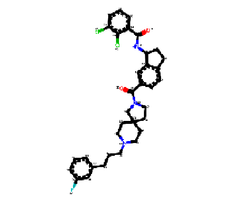 O=C(NC1CCc2ccc(C(=O)N3CCC4(CCN(CCCc5cccc(F)c5)CC4)C3)cc21)c1cccc(Cl)c1Cl